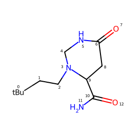 CC(C)(C)CCN1CNC(=O)CC1C(N)=O